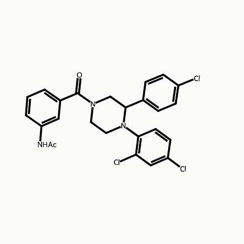 CC(=O)Nc1cccc(C(=O)N2CCN(c3ccc(Cl)cc3Cl)C(c3ccc(Cl)cc3)C2)c1